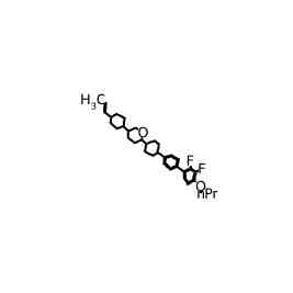 C/C=C/C1CCC(C2CCC(C3CCC(c4ccc(-c5ccc(OCCC)c(F)c5F)cc4)CC3)OC2)CC1